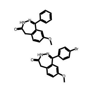 COc1ccc2c(c1)C(c1ccc(Br)cc1)=NNC(=O)C2.COc1ccc2c(c1)C(c1ccccc1)=NNC(=O)C2